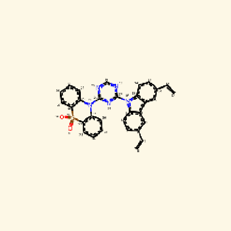 C=Cc1ccc2c(c1)c1cc(C=C)ccc1n2-c1ncnc(N2c3ccccc3S(=O)(=O)c3ccccc32)n1